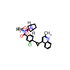 Cc1cc(C2CC2c2ccc(C(=O)N(C)C3C[C@H]4CC[C@@H](C3)N4C(=O)OC(C)(C)C)cc2Cl)c2ccccc2n1